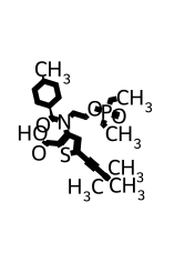 CCP(=O)(CC)OCCN(c1cc(C#CC(C)(C)C)sc1C(=O)O)C(=O)[C@H]1CC[C@H](C)CC1